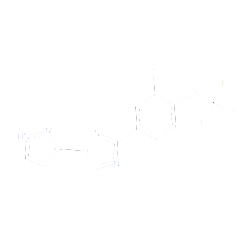 Cc1cc(-c2nc(-c3ccc(OC(F)(F)F)c(F)c3)no2)n[nH]1